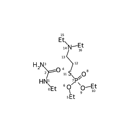 CCNC(N)=O.CCOP(=O)(OCC)SCCN(CC)CC